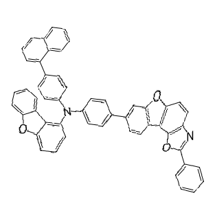 c1ccc(-c2nc3ccc4oc5cc(-c6ccc(N(c7ccc(-c8cccc9ccccc89)cc7)c7cccc8oc9ccccc9c78)cc6)ccc5c4c3o2)cc1